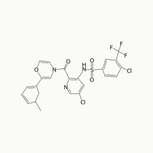 CC1C=CC=C(C2=CN(C(=O)c3ncc(Cl)cc3NS(=O)(=O)c3ccc(Cl)c(C(F)(F)F)c3)C=CO2)C1